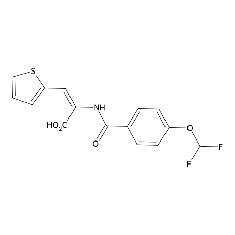 O=C(O)/C(=C\c1cccs1)NC(=O)c1ccc(OC(F)F)cc1